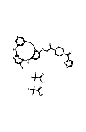 O=C(COc1ccc2cc1CCc1cncc(c1)Nc1ncc(Cl)c(n1)N2)N1CCN(C(=O)c2ccno2)CC1.O=C(O)C(F)(F)F.O=C(O)C(F)(F)F